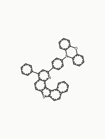 c1ccc(-c2cc(-c3ccc(N4c5ccccc5Oc5ccccc54)cc3)nc3c2ccc2sc4ccc5ccccc5c4c23)cc1